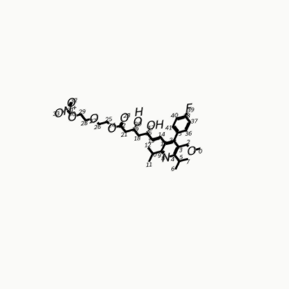 COCc1c(C(C)C)nc(C(C)C)c(/C=C/[C@@H](O)C[C@@H](O)CC(=O)OCCOCCO[N+](=O)[O-])c1-c1ccc(F)cc1